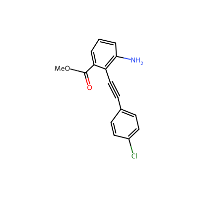 COC(=O)c1cccc(N)c1C#Cc1ccc(Cl)cc1